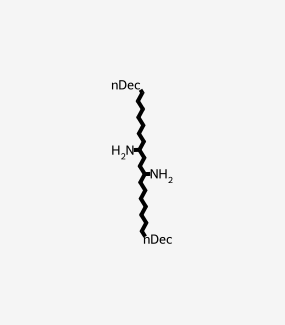 CCCCCCCCCCCCCCCCCC(N)CCC(N)CCCCCCCCCCCCCCCCC